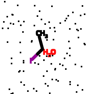 CCI.O